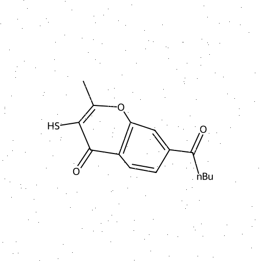 CCCCC(=O)c1ccc2c(=O)c(S)c(C)oc2c1